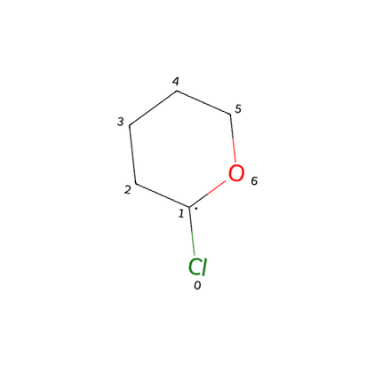 Cl[C]1CCCCO1